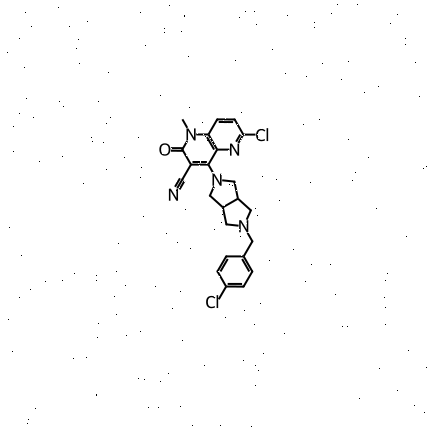 Cn1c(=O)c(C#N)c(N2CC3CN(Cc4ccc(Cl)cc4)CC3C2)c2nc(Cl)ccc21